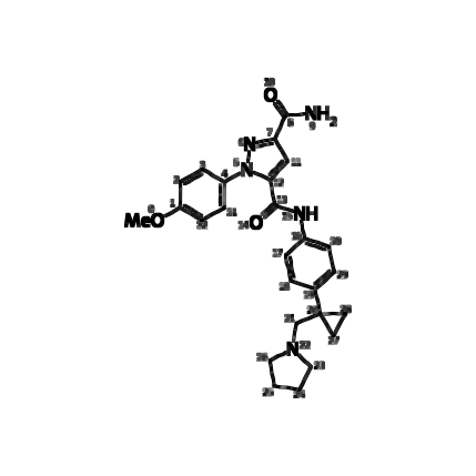 COc1ccc(-n2nc(C(N)=O)cc2C(=O)Nc2ccc(C3(CN4CCCC4)CC3)cc2)cc1